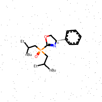 CCCCC(CC)CP(=O)(CC(CC)CCCC)C1=N[C@@H](c2ccccc2)CO1